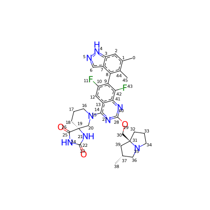 Cc1cc2[nH]ncc2c(-c2c(F)cc3c(N4CCC[C@]5(C4)NC(=O)NC5=O)nc(OC[C@@]45CCCN4C[C@H](C)C5)nc3c2F)c1C